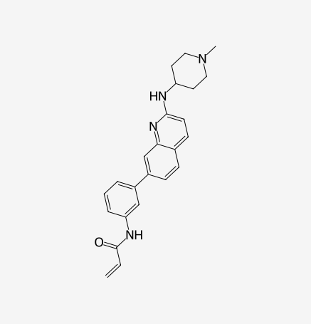 C=CC(=O)Nc1cccc(-c2ccc3ccc(NC4CCN(C)CC4)nc3c2)c1